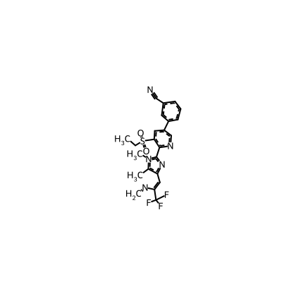 C=N/C(=C\c1nc(-c2ncc(-c3cccc(C#N)c3)cc2S(=O)(=O)CC)n(C)c1C)C(F)(F)F